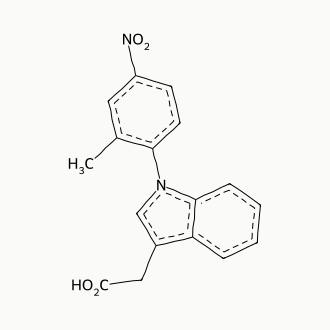 Cc1cc([N+](=O)[O-])ccc1-n1cc(CC(=O)O)c2ccccc21